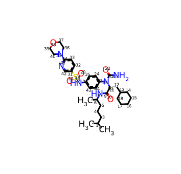 CC(C)CCCC(C)NC(=O)[C@@H](CC1CCCCC1)N(C(N)=O)c1ccc(NS(=O)(=O)c2ccc(N3CCOCC3)nc2)cc1